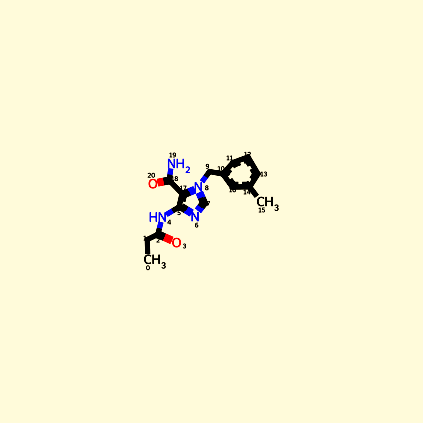 CCC(=O)Nc1ncn(Cc2cccc(C)c2)c1C(N)=O